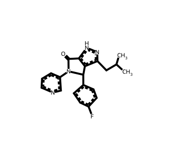 CC(C)Cc1n[nH]c2c1C(c1ccc(F)cc1)N(c1cccnc1)C2=O